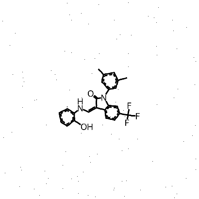 Cc1cc(C)cc(N2C(=O)C(=CNc3[c]cccc3O)c3ccc(C(F)(F)F)cc32)c1